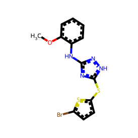 COc1ccccc1Nc1n[nH]c(Sc2ccc(Br)s2)n1